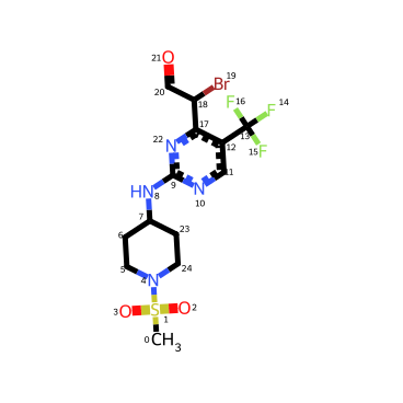 CS(=O)(=O)N1CCC(Nc2ncc(C(F)(F)F)c(C(Br)C=O)n2)CC1